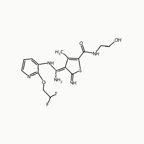 CC1=C(C(=O)NCCO)SC(=N)/C1=C(\N)Nc1cccnc1OCC(F)F